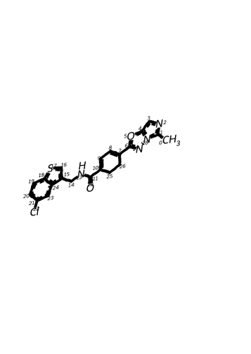 Cc1ncc2oc(C3=CC=C(C(=O)NCc4csc5ccc(Cl)cc45)CC3)nn12